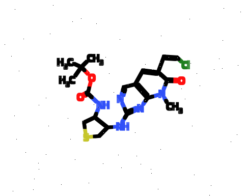 Cn1c(=O)c(/C=C\Cl)cc2cnc(NC3CSCC3NC(=O)OC(C)(C)C)nc21